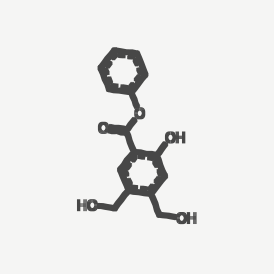 O=C(Oc1ccccc1)c1cc(CO)c(CO)cc1O